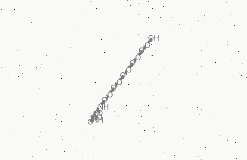 O=C(CNCCOCCOCCOCCOCCOCCOCCOCCOCCOCCOCCO)CC1=CC(=O)NC1=O